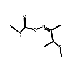 CNC(=O)O/N=C(/C)C(C)SC